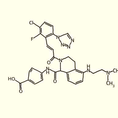 CN(C)CCNc1cccc2c1CCN(C(=O)/C=C/c1c(-n3cnnn3)ccc(Cl)c1F)C2C(=O)Nc1ccc(C(=O)O)cc1